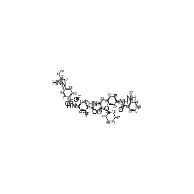 CCc1cn(-c2ccc(S(=O)(=O)Nc3cc(F)c(C(=O)N[C@@H](Cc4ccc(NC(=O)c5ccncc5NC)cc4)C(=O)OC4CCCCC4)cc3F)cc2)[nH]1